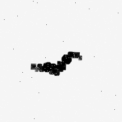 COc1ccc(-c2noc(-c3cc4ccc(OC)cc4oc3=O)n2)cc1